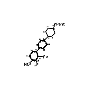 CCCCCC1CCC(c2ccc(-c3ccc(C#N)c(F)c3F)cc2)CC1